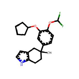 N#CC1(c2ccc(OC(F)F)c(OC3CCCC3)c2)CCc2[nH]ccc2C1